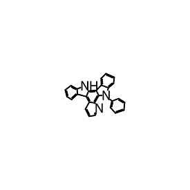 c1ccc(-n2c3ccccc3c3c4[nH]c5ccccc5c4c4cccnc4c32)cc1